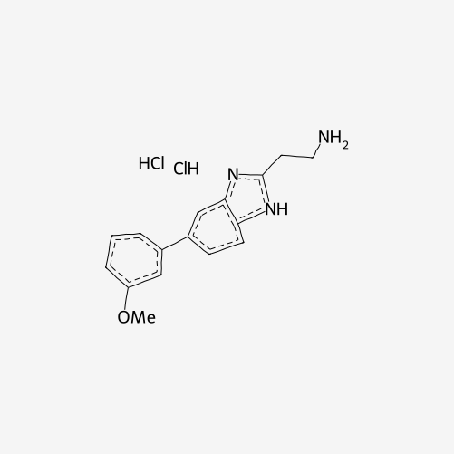 COc1cccc(-c2ccc3[nH]c(CCN)nc3c2)c1.Cl.Cl